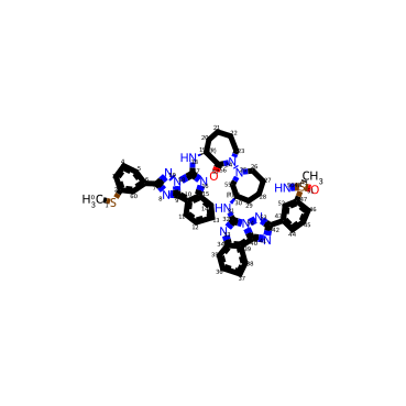 CSc1cccc(-c2nc3c4ccccc4nc(N[C@@H]4CCCCN(N5CCCC[C@@H](Nc6nc7ccccc7c7nc(-c8cccc(S(C)(=N)=O)c8)nn67)C5)C4=O)n3n2)c1